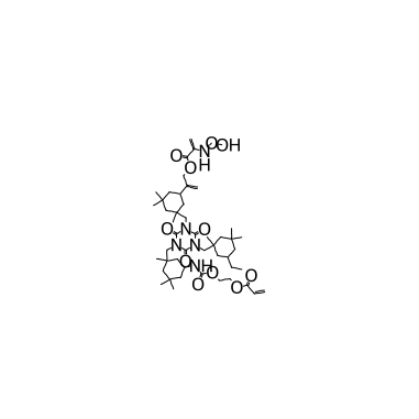 C=CC(=O)OCCOC(=O)NC1CC(C)(C)CC(C)(Cn2c(=O)n(CC3(C)CC(CC)CC(C)(C)C3)c(=O)n(CC3(C)CC(C(=C)COC(=O)C(=C)NOO)CC(C)(C)C3)c2=O)C1